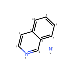 [N].c1ccc2cnccc2c1